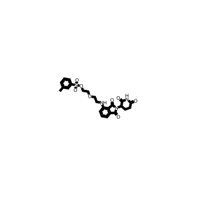 Cc1cccc(S(=O)(=O)OCCOCCNc2cccc3c2C(=O)N(C2CCC(=O)NC2=O)C3=O)c1